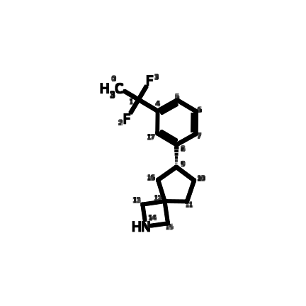 CC(F)(F)c1cccc([C@@H]2CCC3(CNC3)C2)c1